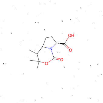 CC1C2CC[C@@H](C(=O)O)N2C(=O)OC1(C)C